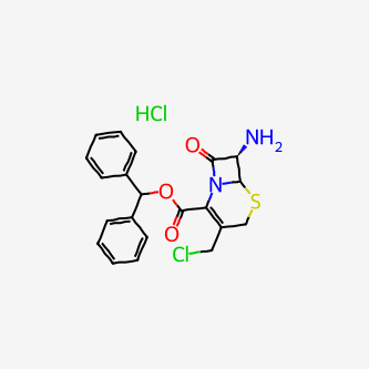 Cl.N[C@@H]1C(=O)N2C(C(=O)OC(c3ccccc3)c3ccccc3)=C(CCl)CSC12